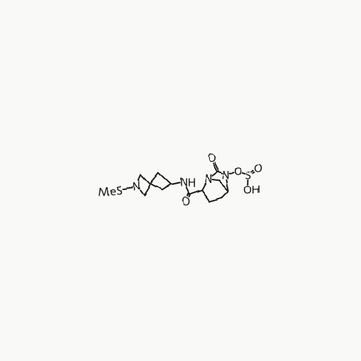 CSN1CC2(CC(NC(=O)C3CCC4CN3C(=O)N4OS(=O)O)C2)C1